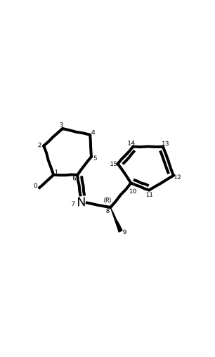 CC1CCCCC1=N[C@H](C)c1ccccc1